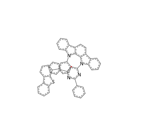 c1ccc(-c2cc(-n3c4ccccc4c4ccc5c6ccccc6n(-c6cccc(-c7cccc8c7sc7ccccc78)c6)c5c43)nc(-c3ccccc3)n2)cc1